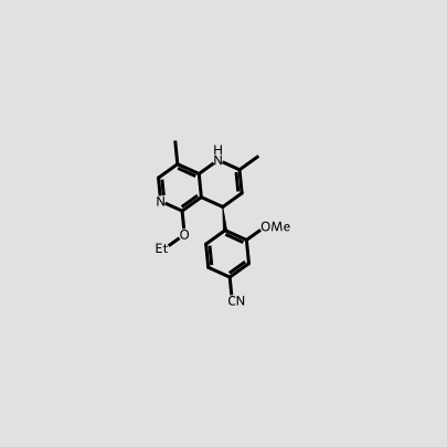 CCOc1ncc(C)c2c1[C@H](c1ccc(C#N)cc1OC)C=C(C)N2